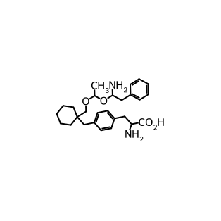 CC(OCC1(Cc2ccc(CC(N)C(=O)O)cc2)CCCCC1)OC(N)Cc1ccccc1